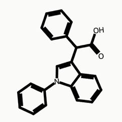 O=C(O)C(c1ccccc1)c1cn(-c2ccccc2)c2ccccc12